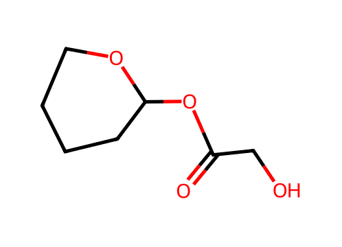 O=C(CO)OC1CCCCO1